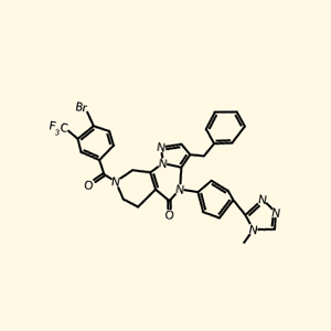 Cn1cnnc1-c1ccc(-n2c(=O)c3c(n4ncc(Cc5ccccc5)c24)CN(C(=O)c2ccc(Br)c(C(F)(F)F)c2)CC3)cc1